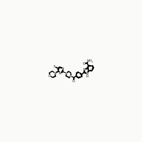 NC(=O)c1cccc2[nH]c(-c3ccc(C(=O)N4CCN(c5ncc(F)c(N6CCOCC6)n5)CC4)cc3)nc12